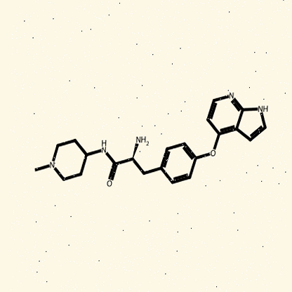 CN1CCC(NC(=O)[C@@H](N)Cc2ccc(Oc3ccnc4[nH]ccc34)cc2)CC1